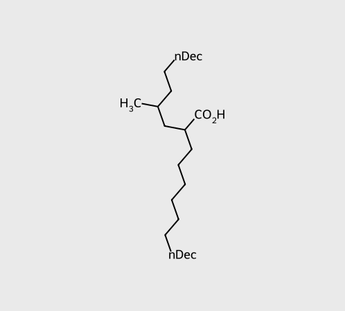 CCCCCCCCCCCCCCCCC(CC(C)CCCCCCCCCCCC)C(=O)O